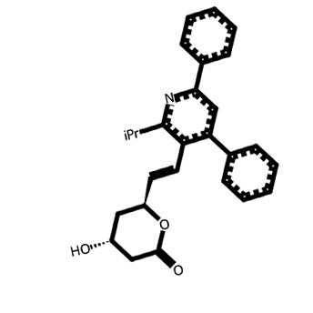 CC(C)c1nc(-c2ccccc2)cc(-c2ccccc2)c1/C=C/[C@@H]1C[C@@H](O)CC(=O)O1